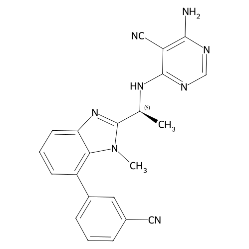 C[C@H](Nc1ncnc(N)c1C#N)c1nc2cccc(-c3cccc(C#N)c3)c2n1C